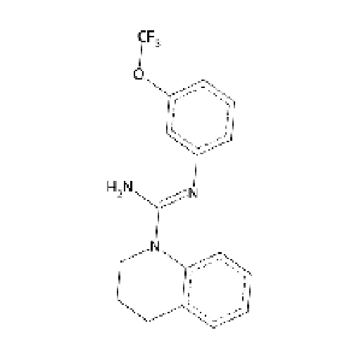 NC(=Nc1cccc(OC(F)(F)F)c1)N1CCCc2ccccc21